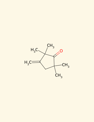 C=C1CC(C)(C)C(=O)C1(C)C